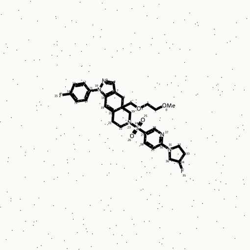 COCCOCC12Cc3cnn(-c4ccc(F)cc4)c3C=C1CCN(S(=O)(=O)c1ccc(N3CCC(F)C3)nc1)C2